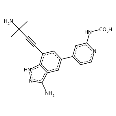 CC(C)(N)C#Cc1cc(-c2ccnc(NC(=O)O)c2)cc2c(N)n[nH]c12